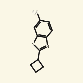 FC(F)(F)c1ccc2nc(C3CCC3)sc2c1